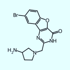 NC1CCN(Cc2nc3c(oc4ccc(Br)cc43)c(=O)[nH]2)C1